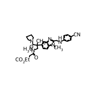 CCOC(=O)CC(=O)N(C)CC(C)(C(=O)N1CCCC1)c1ccc2c(c1)nc(CNc1ccc(C#N)cc1)n2C